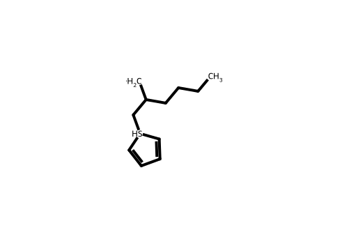 [CH2]C(CCCC)C[SH]1C=CC=C1